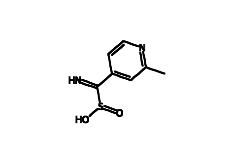 Cc1cc(C(=N)S(=O)O)ccn1